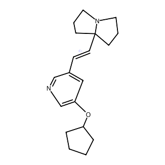 C(=C\C12CCCN1CCC2)/c1cncc(OC2CCCC2)c1